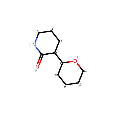 O=C1[N]CCCC1C1CCCCO1